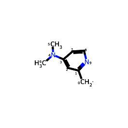 [CH2]c1cc(N(C)C)ccn1